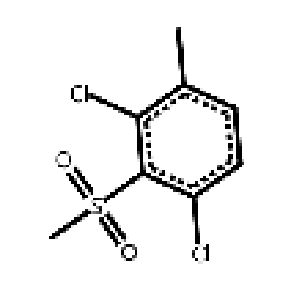 Cc1ccc(Cl)c(S(C)(=O)=O)c1Cl